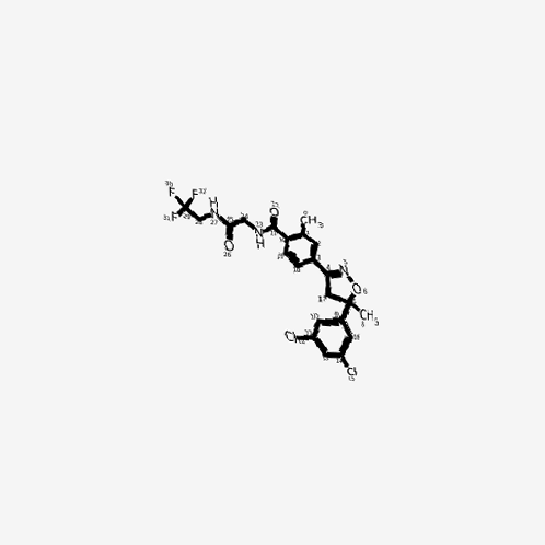 Cc1cc(C2=NOC(C)(c3cc(Cl)cc(Cl)c3)C2)ccc1C(=O)NCC(=O)NCC(F)(F)F